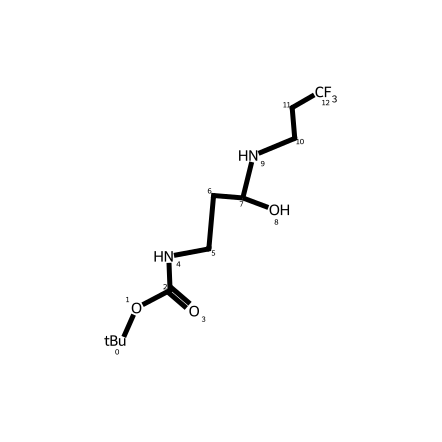 CC(C)(C)OC(=O)NCCC(O)NCCC(F)(F)F